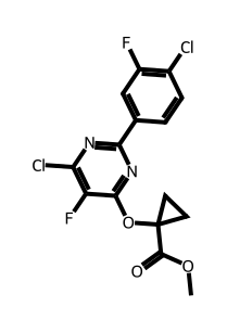 COC(=O)C1(Oc2nc(-c3ccc(Cl)c(F)c3)nc(Cl)c2F)CC1